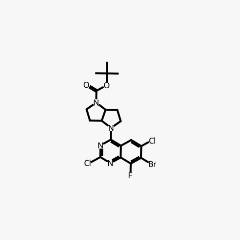 CC(C)(C)OC(=O)N1CCC2C1CCN2c1nc(Cl)nc2c(F)c(Br)c(Cl)cc12